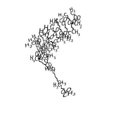 CC(=O)OCC(C)C.CC(=O)OCCC(C)C.CC(C)CCOC(=O)CC(C)C.CCC(CCCC(C)=O)C(=O)OCC(C)C.CCCC(=O)OC(C)CCC.CCCC(=O)OCCC(C)C.CCCCCCC(=O)O.CCCCCCOC(C)=O.CCCCCOC(C)=O.CCCCOC(=O)CCC.CCCCOC(C)=O.CCOC(C)=O